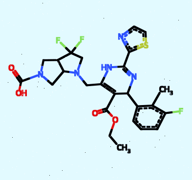 CCOC(=O)C1=C(CN2CC(F)(F)C3CN(C(=O)O)CC32)NC(c2nccs2)=NC1c1cccc(F)c1C